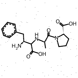 CC(NC(C(=O)O)[C@@H](N)Cc1ccccc1)C(=O)N1CCC[C@H]1C(=O)O